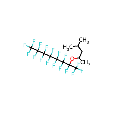 CC(C)CC(C)OC(F)(C(F)(F)F)C(F)(F)C(F)(F)C(F)(F)C(F)(F)C(F)(F)C(F)(F)F